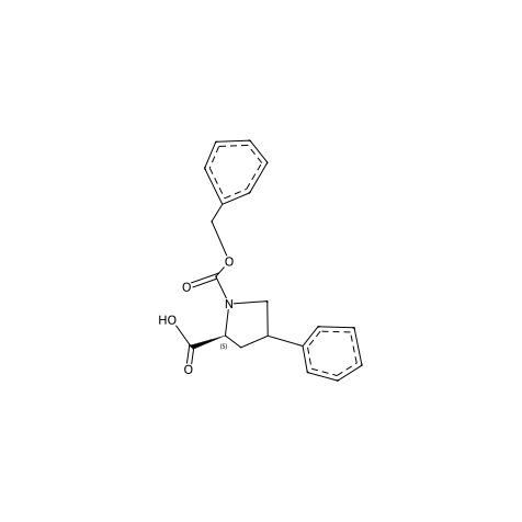 O=C(O)[C@@H]1CC(c2ccccc2)CN1C(=O)OCc1ccccc1